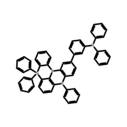 c1ccc(N(c2ccccc2)c2cccc(-c3ccc4c(c3)B3c5ccccc5[Si](c5ccccc5)(c5ccccc5)c5cccc(c53)N4c3ccccc3)c2)cc1